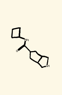 O=C(NC1CCC1)C1CC2CNCC2C1